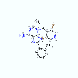 Cc1ccccc1-c1nc2c(N)nc(C)n(Cc3c(Br)cncc3Br)c-2n1